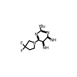 CC(C)(C)C1=NC(=N)C(=N)C(N2CCC(F)(F)C2)=N1